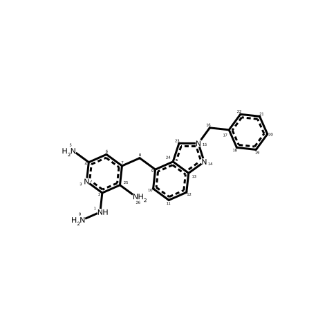 NNc1nc(N)cc(Cc2cccc3nn(Cc4ccccc4)cc23)c1N